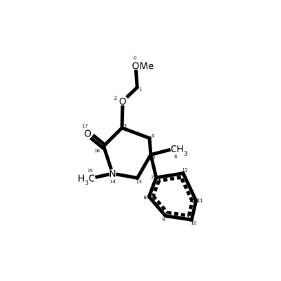 COCOC1CC(C)(c2ccccc2)CN(C)C1=O